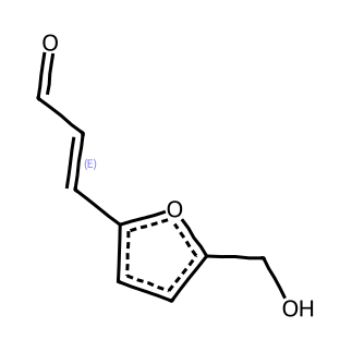 O=C/C=C/c1ccc(CO)o1